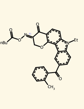 CCCCC(=O)O/N=C1\COc2c(ccc3c2c2cc(C(=O)c4ccccc4C)ccc2n3CC)C1=O